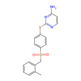 Cc1ccccc1CS(=O)(=O)c1ccc(Sc2nccc(N)n2)cc1